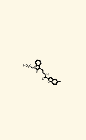 Cc1ccc2oc(C(=O)N/N=C/c3c(C)n(CC(=O)O)c4ccccc34)cc2c1